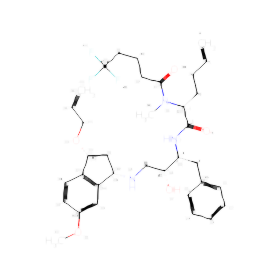 C=CCC[C@@H](C(=O)N[C@@H](Cc1ccccc1)[C@H](O)CN[C@H]1C[C@@H](OCC=C)c2ccc(OC)cc21)N(C)C(=O)CCCC(F)(F)F